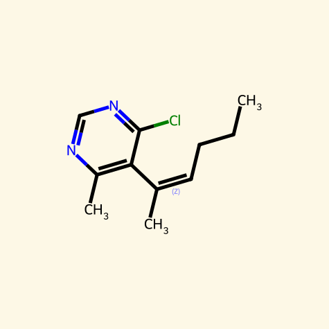 CCC/C=C(/C)c1c(C)ncnc1Cl